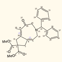 COC(=O)C1(C(=O)OC)CC2=C/CN(C(c3ccccc3)c3ccccc3)CC(=O)/C(C)=C\2C1